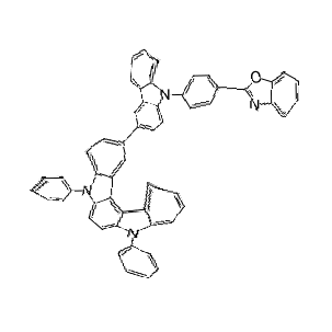 c1ccc(-n2c3ccccc3c3c4c5cc(-c6ccc7c(c6)c6ccccc6n7-c6ccc(-c7nc8ccccc8o7)cc6)ccc5n(-c5ccccc5)c4ccc32)cc1